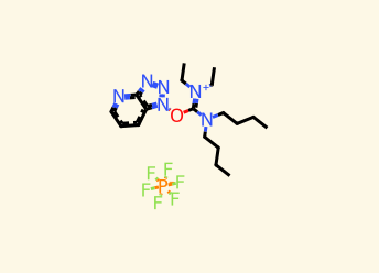 CCCCN(CCCC)C(On1nnc2ncccc21)=[N+](CC)CC.F[P-](F)(F)(F)(F)F